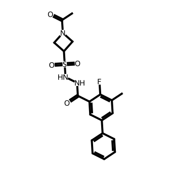 CC(=O)N1CC(S(=O)(=O)NNC(=O)c2cc(-c3ccccc3)cc(C)c2F)C1